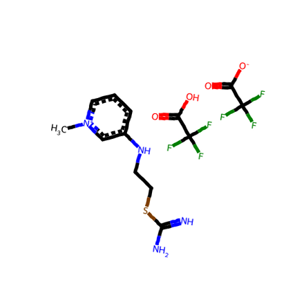 C[n+]1cccc(NCCSC(=N)N)c1.O=C(O)C(F)(F)F.O=C([O-])C(F)(F)F